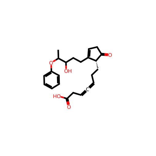 CC(Oc1ccccc1)C(O)CCC1=CCC(=O)[C@@H]1CCC=C=CCC(=O)O